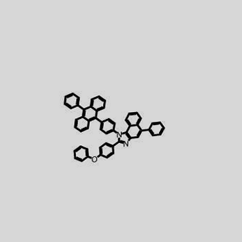 c1ccc(Oc2ccc(-c3nc4cc(-c5ccccc5)c5ccccc5c4n3-c3ccc(-c4c5ccccc5c(-c5ccccc5)c5ccccc45)cc3)cc2)cc1